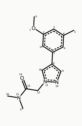 COc1cc(C)cc(-c2cnn(CC(=O)N(C)C)c2)c1